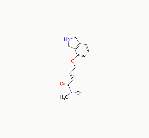 CN(C)C(=O)/C=C/COc1cccc2c1CNC2